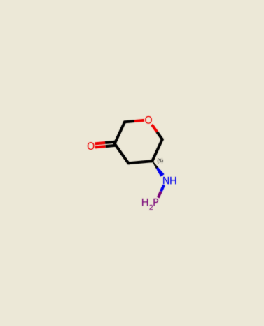 O=C1COC[C@@H](NP)C1